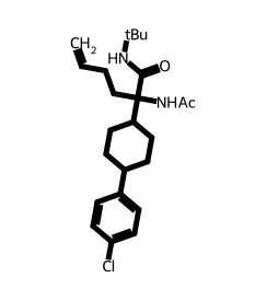 C=CCCC(NC(C)=O)(C(=O)NC(C)(C)C)C1CCC(c2ccc(Cl)cc2)CC1